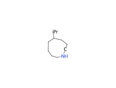 CC(C)C1CCCCNCCC1